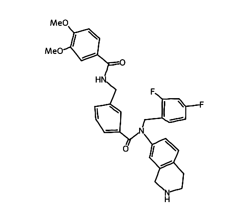 COc1ccc(C(=O)NCc2cccc(C(=O)N(Cc3ccc(F)cc3F)c3ccc4c(c3)CNCC4)c2)cc1OC